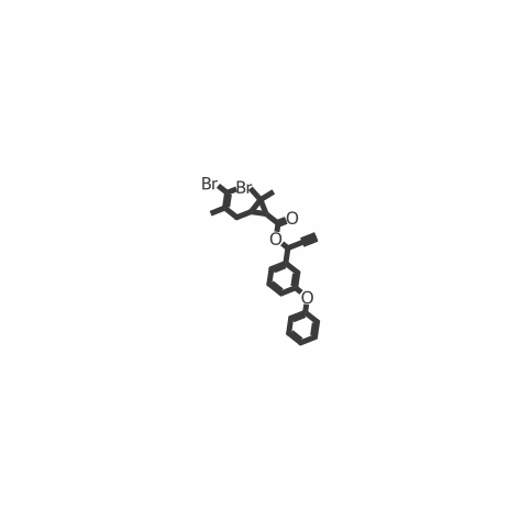 C#CC(OC(=O)C1C(CC(C)=C(Br)Br)C1(C)C)c1cccc(Oc2ccccc2)c1